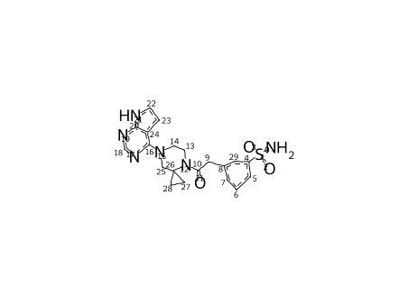 NS(=O)(=O)c1cccc(CC(=O)N2CCN(c3ncnc4[nH]ccc34)CC23CC3)c1